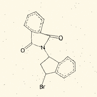 O=C1c2ccccc2C(=O)N1C1CC(Br)c2ccccc21